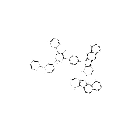 Cc1c(-c2ccc(-n3c4c(c5cc6ccccc6cc53)C=CC(n3c5c(c6ccc7ccccc7c63)CCC=C5)C4)cc2)nc(C2=CC(C3C=CC=CC3)CC=C2)nc1C1C=CC=CC1